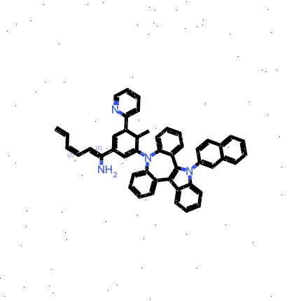 C=C/C=C\C=C(/N)C1=CC(c2ccccn2)C(C)C(N2c3ccccc3-c3c(n(-c4ccc5ccccc5c4)c4ccccc34)-c3ccccc32)=C1